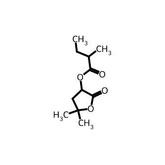 CCC(C)C(=O)OC1CC(C)(C)OC1=O